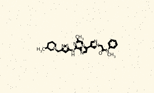 Cc1cn2c(-c3cnn(CC(=O)N(C)c4ccccc4)c3)cnc2c(Nc2cc(CN3CCCC(C)C3)ns2)n1